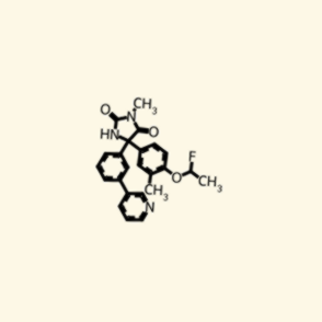 Cc1cc(C2(c3cccc(-c4cccnc4)c3)NC(=O)N(C)C2=O)ccc1OC(C)F